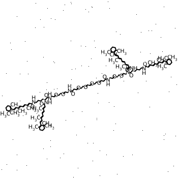 CC1=C(/C=C/C(C)=C/C=C/C(C)=C/C(=O)NCCCC[C@H](NC(=O)/C=C(C)/C=C/C=C(C)/C=C/C2=C(C)CCCC2(C)C)C(=O)NCCOCCOCCNC(=O)CCOCCOCCOCCOCCC(=O)NCCOCCOCCNC(=O)[C@H](CCCCNC(=O)/C=C(C)/C=C/C=C(C)/C=C/C2=C(C)CCCC2(C)C)NC(=O)/C=C(C)/C=C/C=C(C)/C=C/C2=C(C)CCCC2(C)C)C(C)(C)CCC1